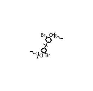 C=CCOC(C)Oc1ccc(C(C)(C)c2ccc(OC(C)OCC=C)c(Br)c2)cc1Br